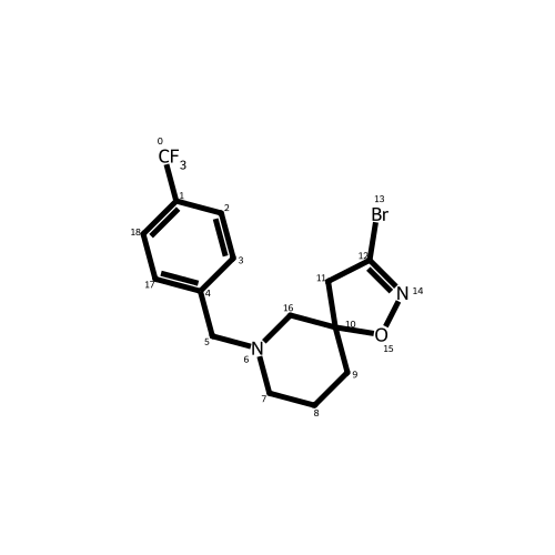 FC(F)(F)c1ccc(CN2CCCC3(CC(Br)=NO3)C2)cc1